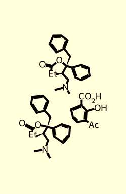 CC(=O)c1cccc(C(=O)O)c1O.CCC(=O)O[C@](Cc1ccccc1)(c1ccccc1)[C@H](C)CN(C)C.CCC(=O)O[C@](Cc1ccccc1)(c1ccccc1)[C@H](C)CN(C)C